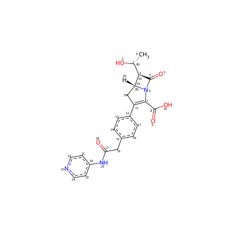 C[C@@H](O)[C@H]1C(=O)N2C(C(=O)O)=C(c3ccc(CC(=O)Nc4ccncc4)cc3)C[C@H]12